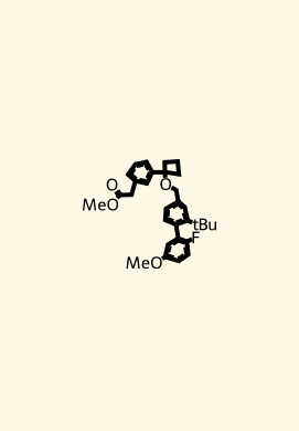 COC(=O)Cc1cccc(C2(OCc3ccc(-c4cc(OC)ccc4F)c(C(C)(C)C)c3)CCC2)c1